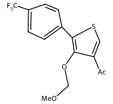 COCOc1c(C(C)=O)csc1-c1ccc(C(F)(F)F)cc1